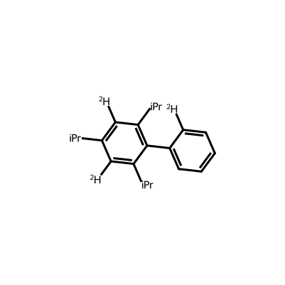 [2H]c1ccccc1-c1c(C(C)C)c([2H])c(C(C)C)c([2H])c1C(C)C